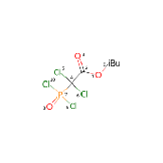 CCC(C)OC(=O)C(Cl)(Cl)P(=O)(Cl)Cl